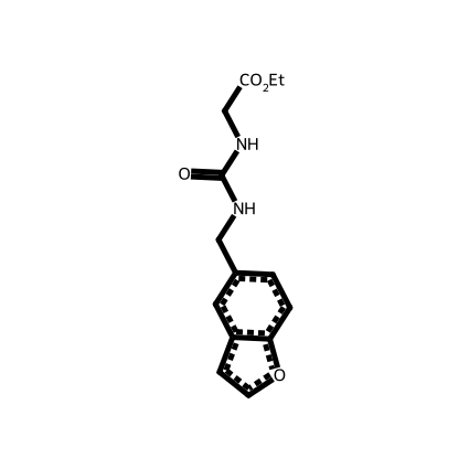 CCOC(=O)CNC(=O)NCc1ccc2occc2c1